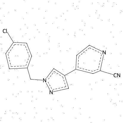 N#Cc1cc(-c2cnn(Cc3ccc(Cl)cc3)c2)ccn1